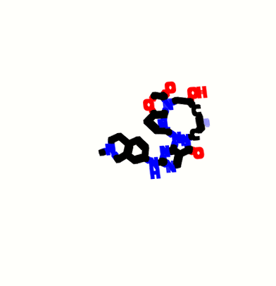 CN1CCc2ccc(Nc3ncc4c(=O)n5n(c4n3)-c3ccc4c(n3)N(CC(O)C/C=C\C5)C(=O)CO4)cc2C1